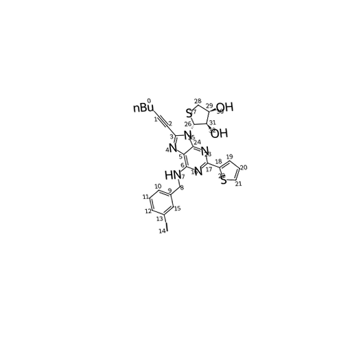 CCCCC#Cc1nc2c(NCc3cccc(I)c3)nc(-c3cccs3)nc2n1[C@@H]1SC[C@@H](O)[C@H]1O